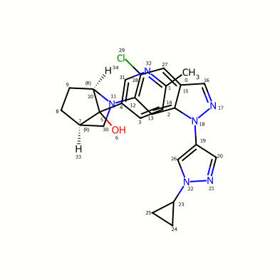 Cc1ccc(C2(O)[C@@H]3CC[C@H]2N(c2cc4c(cnn4-c4cnn(C5CC5)c4)cc2Cl)C3)cn1